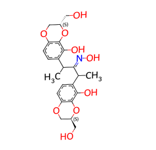 CC(C(=NO)C(C)c1ccc2c(c1O)O[C@@H](CO)CO2)c1ccc2c(c1O)O[C@@H](CO)CO2